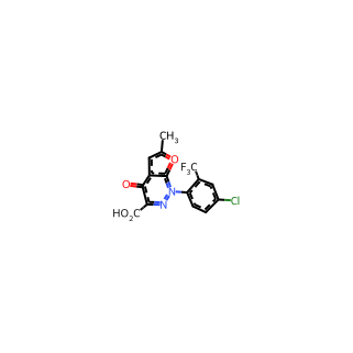 Cc1cc2c(=O)c(C(=O)O)nn(-c3ccc(Cl)cc3C(F)(F)F)c2o1